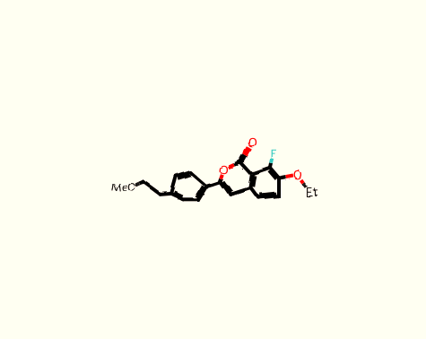 CCOc1ccc2cc(-c3ccc(CCOC)cc3)oc(=O)c2c1F